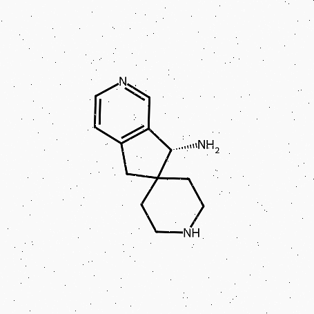 N[C@H]1c2cnccc2CC12CCNCC2